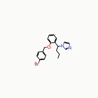 CCCC(c1c[c]ccc1OCc1ccc(Br)cc1)n1ccnc1